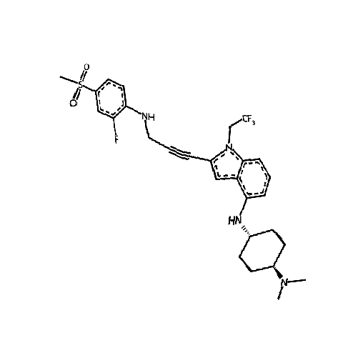 CN(C)[C@H]1CC[C@H](Nc2cccc3c2cc(C#CCNc2ccc(S(C)(=O)=O)cc2F)n3CC(F)(F)F)CC1